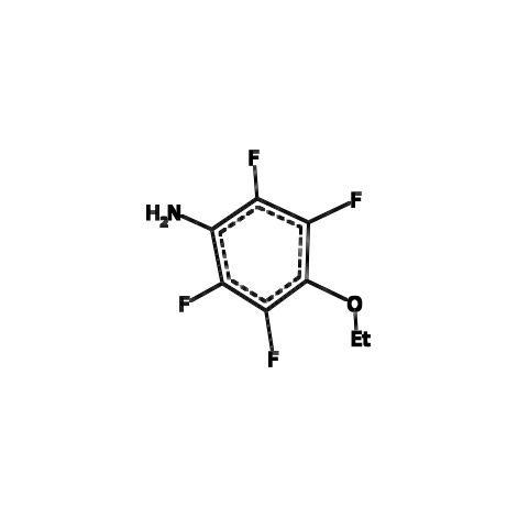 CCOc1c(F)c(F)c(N)c(F)c1F